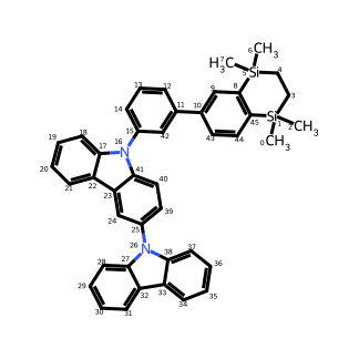 C[Si]1(C)CC[Si](C)(C)c2cc(-c3cccc(-n4c5ccccc5c5cc(-n6c7ccccc7c7ccccc76)ccc54)c3)ccc21